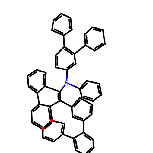 c1ccc(-c2ccccc2-c2cccc(-c3c(N(c4ccccc4)c4ccc(-c5ccccc5)c(-c5ccccc5)c4)c4ccccc4c4ccccc34)c2)cc1